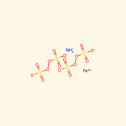 O=S(=O)([O-])OOS(=O)(=O)[O-].O=S(=O)([O-])OOS(=O)(=O)[O-].[Fe+3].[NH4+]